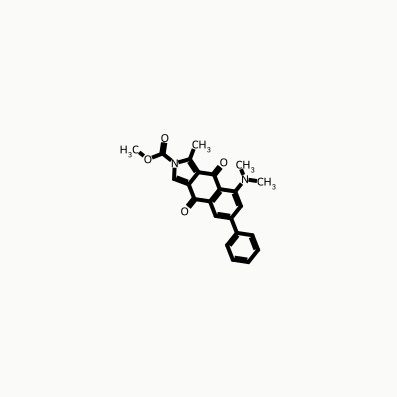 COC(=O)n1cc2c(c1C)C(=O)c1c(cc(-c3ccccc3)cc1N(C)C)C2=O